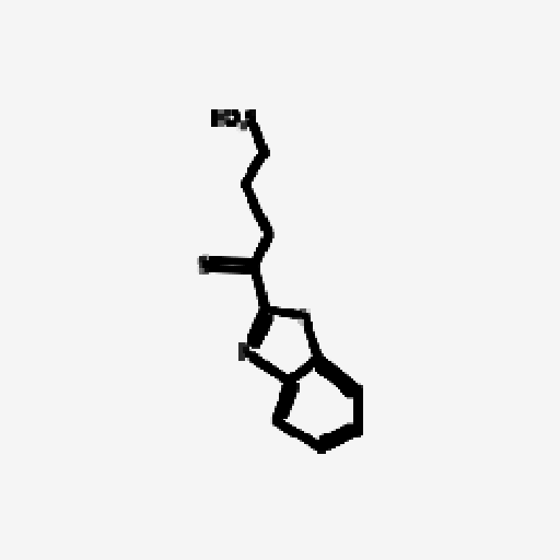 O=S(=O)(O)CCCC(=S)c1nc2ccccc2s1